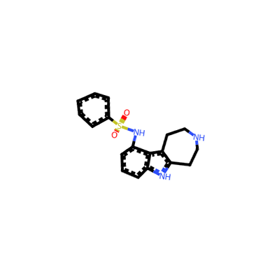 O=S(=O)(Nc1cccc2[nH]c3c(c12)CCNCC3)c1ccccc1